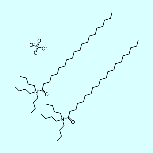 CCCCCCCCCCCCCCCCCCCC(=O)[N+](CCCC)(CCCC)CCCC.CCCCCCCCCCCCCCCCCCCC(=O)[N+](CCCC)(CCCC)CCCC.O=S(=O)([O-])[O-]